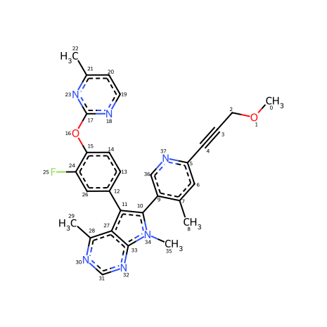 COCC#Cc1cc(C)c(-c2c(-c3ccc(Oc4nccc(C)n4)c(F)c3)c3c(C)ncnc3n2C)cn1